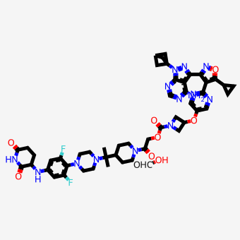 CC(C)(C1CCN(C(=O)COC(=O)N2CC(Oc3cnc(-c4c(-c5nn(C67CC(C6)C7)c6ncnc(N)c56)noc4C4CC4)nc3)C2)CC1)N1CCN(c2c(F)cc(NC3CCC(=O)NC3=O)cc2F)CC1.O=CO